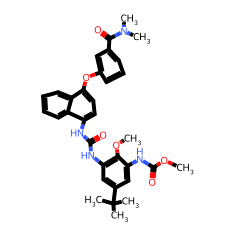 COC(=O)Nc1cc(C(C)(C)C)cc(NC(=O)Nc2ccc(Oc3cccc(C(=O)N(C)C)c3)c3ccccc23)c1OC